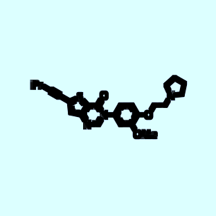 COc1cc(-n2cnc3cc(C#CC(C)C)sc3c2=O)ccc1OCCN1CCCC1